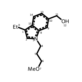 CCc1cn(CCCOC)c2cc(CO)ccc12